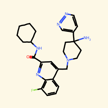 NC1(c2ccnnc2)CCN(Cc2cc(C(=O)NC3CCCCC3)nc3c(F)cccc23)CC1